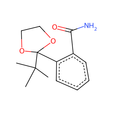 CC(C)(C)C1(c2ccccc2C(N)=O)OCCO1